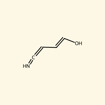 N=C=CC=CO